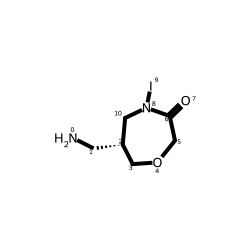 NC[C@H]1COCC(=O)N(I)C1